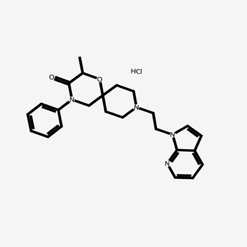 CC1OC2(CCN(CCn3ccc4cccnc43)CC2)CN(c2ccccc2)C1=O.Cl